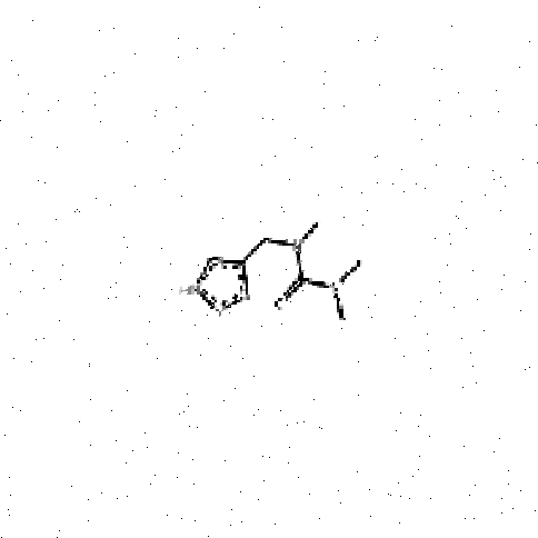 CN(C)C(=O)N(C)Cc1c[nH]nn1